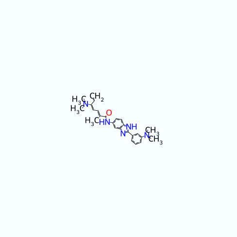 C=C/C(=C\C=C(/C)C(=O)Nc1ccc2[nH]c(-c3cccc(N(C)C)c3)nc2c1)N(C)C